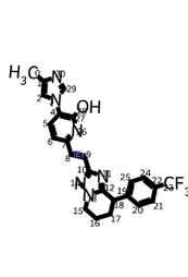 Cc1cn(-c2ccc(/C=C/c3nc4n(n3)CCCC4c3ccc(C(F)(F)F)cc3)nc2O)cn1